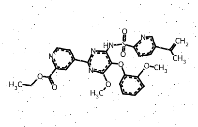 C=C(C)c1ccc(S(=O)(=O)Nc2nc(-c3ccnc(C(=O)OCC)c3)nc(OC)c2Oc2ccccc2OC)nc1